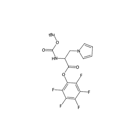 CC(C)(C)OC(=O)NC(Cn1cccc1)C(=O)Oc1c(F)c(F)c(F)c(F)c1F